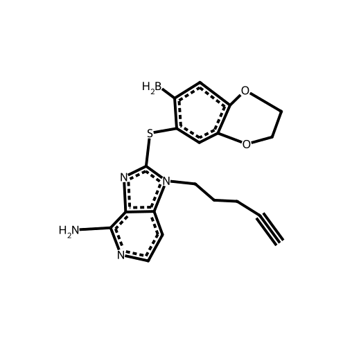 Bc1cc2c(cc1Sc1nc3c(N)nccc3n1CCCC#C)OCCO2